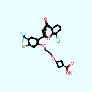 O=c1cc(-c2cc(C(F)(F)F)c(Br)cc2OCCO[C@H]2C[C@H](C(=O)O)C2)oc2c(Cl)cccc12